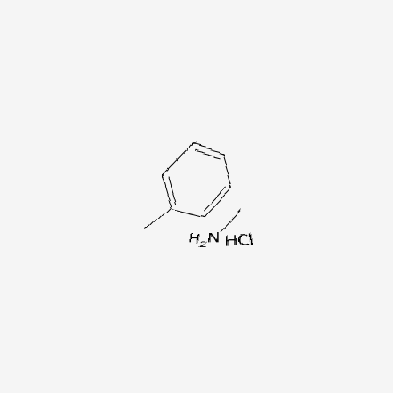 CN.Cc1ccccc1.Cl